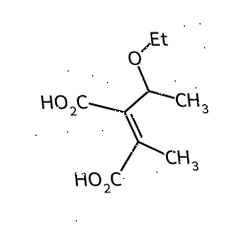 CCOC(C)/C(C(=O)O)=C(\C)C(=O)O